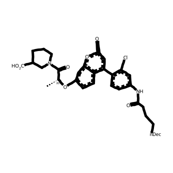 CCCCCCCCCCCCCC(=O)Nc1ccc(-c2cc(=O)oc3cc(O[C@H](C)C(=O)N4CCCC(C(=O)O)C4)ccc23)c(Cl)c1